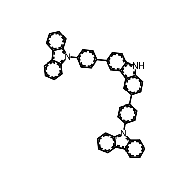 c1ccc2c(c1)c1ccccc1n2-c1ccc(-c2ccc3[nH]c4ccc(-c5ccc(-n6c7ccccc7c7ccccc76)cc5)cc4c3c2)cc1